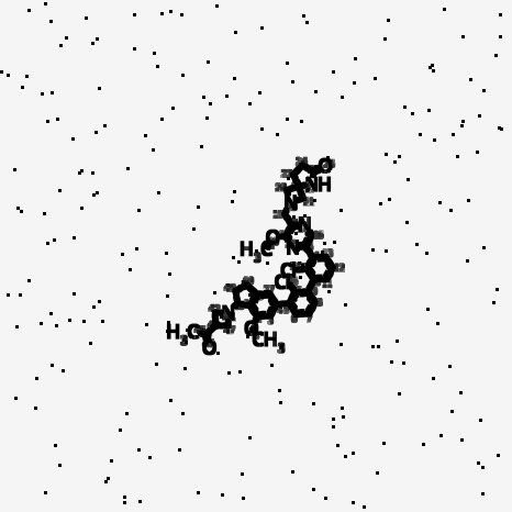 COc1cc(-c2cccc(-c3cccc(-c4cnc(CN5CC6(CCC(=O)N6)C5)c(OC)n4)c3Cl)c2Cl)cc2c1C(N1CC(C(C)=O)C1)CC2